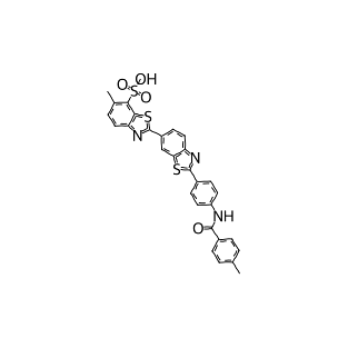 Cc1ccc(C(=O)Nc2ccc(-c3nc4ccc(-c5nc6ccc(C)c(S(=O)(=O)O)c6s5)cc4s3)cc2)cc1